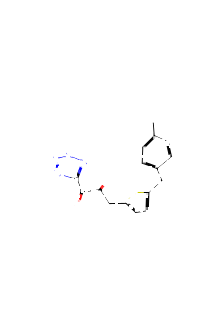 Cc1ccc(Cc2ccc(CC(=O)C(=O)c3nn[nH]n3)s2)cc1